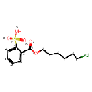 O=C(OCCCCCCCl)c1ccccc1S(=O)(=O)O